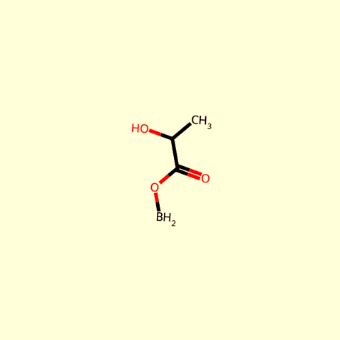 BOC(=O)C(C)O